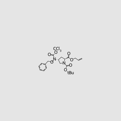 C=CCOC(=O)[C@@H]1C[C@@H](N(OCc2ccccc2)C(=O)OC(Cl)(Cl)Cl)CN1C(=O)OC(C)(C)C